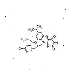 CCCOC(Cc1ccc(Cl)cc1)Cn1c2nc(=O)[nH]c(=O)c-2nc2cc(C(C)C)ccc21